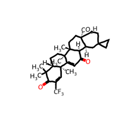 CC1(C)C(=O)C(C(F)(F)F)=C[C@]2(C)C3=CC(=O)[C@@H]4[C@@H]5CC6(CC6)CC[C@]5(C(=O)O)CC[C@@]4(C)[C@]3(C)CC[C@@H]12